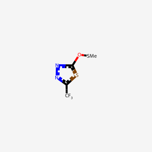 CSOc1nnc(C(F)(F)F)s1